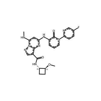 CNc1cc(Nc2cccn(-c3ccc(F)cn3)c2=O)nc2c(C(=O)N[C@H]3CC[C@@H]3OC)cnn12